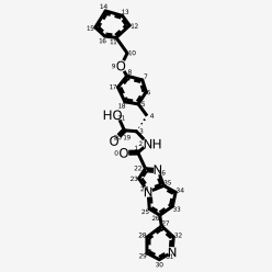 O=C(N[C@@H](Cc1ccc(OCc2ccccc2)cc1)C(=O)O)c1cn2cc(-c3cccnc3)ccc2n1